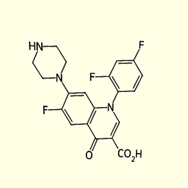 O=C(O)c1cn(-c2ccc(F)cc2F)c2cc(N3CCNCC3)c(F)cc2c1=O